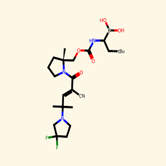 CC(C)(C)CC(NC(=O)OC[C@@]1(C)CCCN1C(=O)C(C#N)=CC(C)(C)N1CCC(F)(F)C1)B(O)O